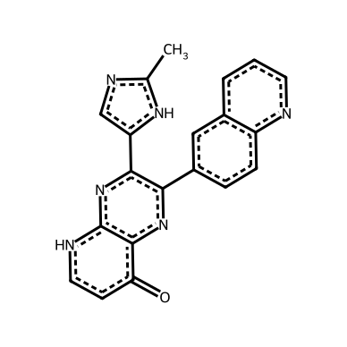 Cc1ncc(-c2nc3[nH]ccc(=O)c3nc2-c2ccc3ncccc3c2)[nH]1